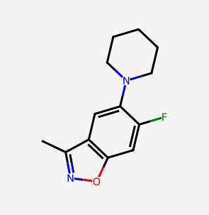 Cc1noc2cc(F)c(N3CCCCC3)cc12